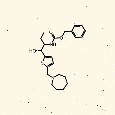 CCC(NC(=O)OCc1ccccc1)C(O)c1ccc(CN2CCCCCC2)s1